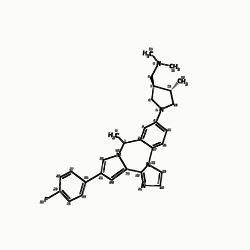 CC1c2cc(N3C[C@@H](CN(C)C)[C@H](C)C3)ccc2-n2ccnc2-c2cc(-c3ccc(F)cc3)cn21